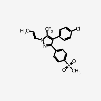 CC=Cn1nc(-c2ccc(S(C)(=O)=O)cc2)c(-c2ccc(Cl)cc2)c1C(F)(F)F